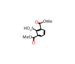 COC(=O)c1cccc(C(=O)OC)c1S(=O)(=O)O